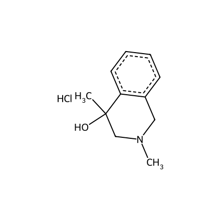 CN1Cc2ccccc2C(C)(O)C1.Cl